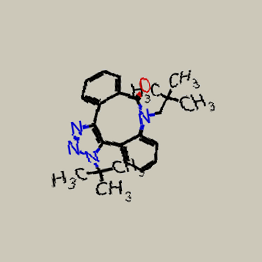 CC(C)(C)CN1C(=O)c2ccccc2-c2nnn(C(C)(C)C)c2-c2ccccc21